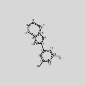 Cc1cc(-c2cn3ncccc3n2)cc(C)n1